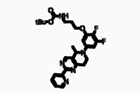 CC1c2cnc(-c3ccccn3)nc2CCN1c1cc(F)c(F)c(OCCCNC(=O)OC(C)(C)C)c1